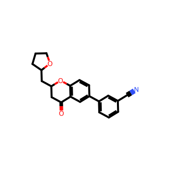 N#Cc1cccc(-c2ccc3c(c2)C(=O)CC(CC2CCCO2)O3)c1